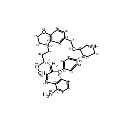 C=C(/C=N\c1ccccc1N)Oc1ccc([C@H]2CCNCC2OCc2ccc3c(c2)N(CCCOC)CCO3)cc1